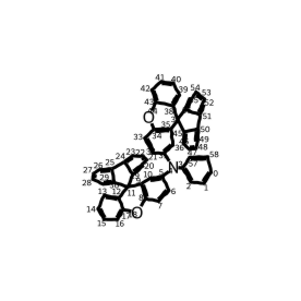 c1ccc(N(c2ccc3c(c2)C2(c4ccccc4O3)c3ccccc3-c3ccccc32)c2ccc3c(c2)C2(c4ccccc4O3)c3ccccc3-c3ccccc32)cc1